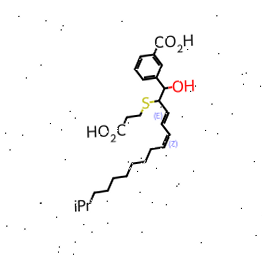 CC(C)CCCCCCC/C=C\C=C\C(SCCC(=O)O)C(O)c1cccc(C(=O)O)c1